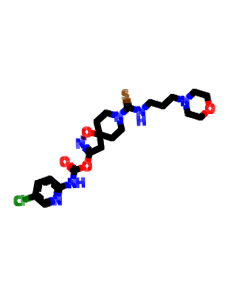 O=C(Nc1ccc(Cl)cn1)OC1=NOC2(CCN(C(=S)NCCCN3CCOCC3)CC2)C1